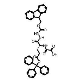 O=C(CC[C@@H](NC(=O)C(=O)O)C(=O)NNC(=O)OCC1c2ccccc2-c2ccccc21)OC(c1ccccc1)(c1ccccc1)c1ccccc1